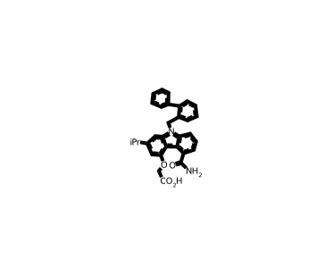 CC(C)c1cc(OCC(=O)O)c2c3c(C(N)=O)cccc3n(Cc3ccccc3-c3ccccc3)c2c1